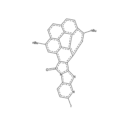 CCCCc1cc2c3c(=O)n4c5ccc(I)nc5nc4c3c3cc(CCCC)c4ccc5ccc1c1c5c4c3c21